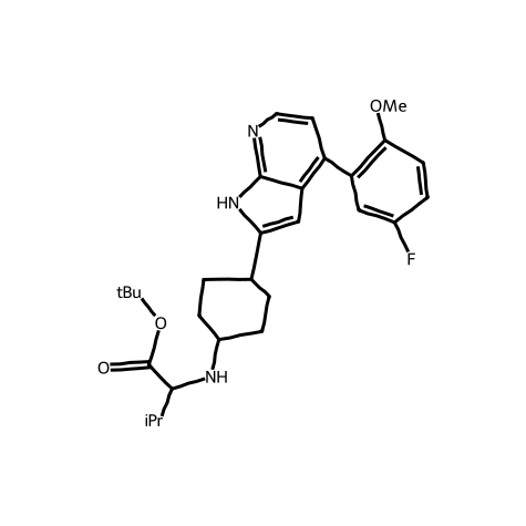 COc1ccc(F)cc1-c1ccnc2[nH]c(C3CCC(NC(C(=O)OC(C)(C)C)C(C)C)CC3)cc12